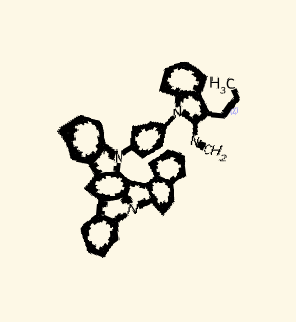 C=Nc1c(/C=C\C)c2ccccc2n1-c1ccc(-n2c3ccccc3c3cc4c5ccccc5n5c6ccc7ccccc7c6c(c32)c45)cc1